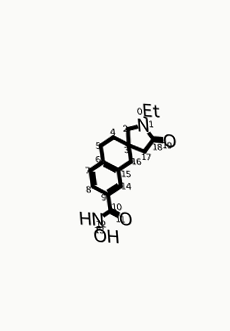 CCN1CC2(CCc3ccc(C(=O)NO)cc3C2)CC1=O